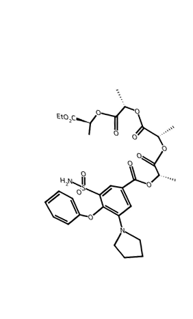 CCOC(=O)[C@H](C)OC(=O)[C@H](C)OC(=O)[C@H](C)OC(=O)[C@H](C)OC(=O)c1cc(N2CCCC2)c(Oc2ccccc2)c(S(N)(=O)=O)c1